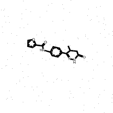 CC1CC(=O)NN=C1c1ccc(NC(=O)c2ccco2)cc1